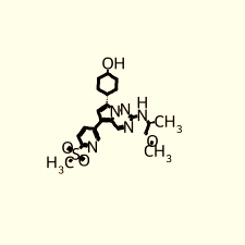 COC[C@H](C)Nc1ncc2c(-c3ccc(S(C)(=O)=O)nc3)cc([C@H]3CC[C@H](O)CC3)n2n1